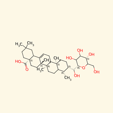 C[C@@H]1C2CC[C@]3(C)C(CC=C4C5CC(C)(C)CC[C@]5(C(=O)O)CC[C@]43C)[C@@]2(C)CC[C@@H]1C(O)[C@H]1OC(CO)[C@@H](O)C(O)C1O